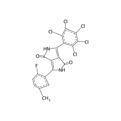 Cc1ccc(F)c(C2=C3C(=O)NC(c4c(Cl)c(Cl)c(Cl)c(Cl)c4Cl)=C3C(=O)N2)c1